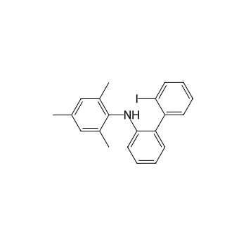 Cc1cc(C)c(Nc2ccccc2-c2ccccc2I)c(C)c1